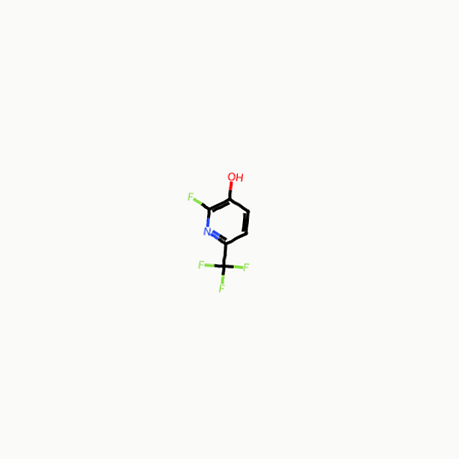 Oc1ccc(C(F)(F)F)nc1F